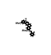 COc1ccc2[nH]c3c(c2c1)CC1c2cc(OC)c(OCc4ccccc4F)cc2CCN1C3